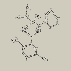 Cc1ccc(C)c(C(=O)NC(c2ccccc2)C(C)(C)N(C)C)c1